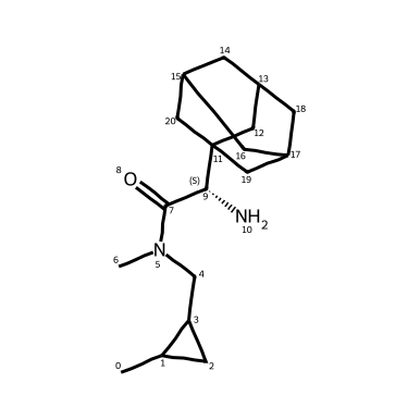 CC1CC1CN(C)C(=O)[C@@H](N)C12CC3CC(CC(C3)C1)C2